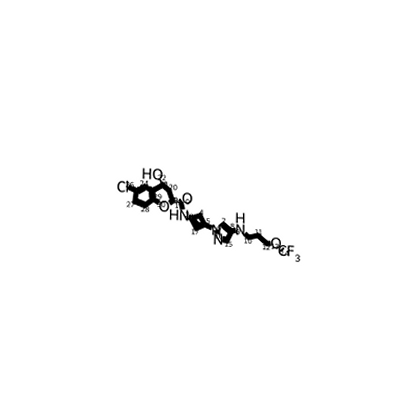 O=C(NC12CC(n3cc(NCCCOC(F)(F)F)cn3)(C1)C2)[C@H]1C[C@@H](O)c2cc(Cl)ccc2O1